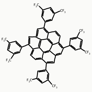 FC(F)(F)c1cc(-c2cc3cc(-c4cc(C(F)(F)F)cc(C(F)(F)F)c4)c4ccc5c(-c6cc(C(F)(F)F)cc(C(F)(F)F)c6)cc6cc(-c7cc(C(F)(F)F)cc(C(F)(F)F)c7)c7ccc2c2c3c4c5c6c72)cc(C(F)(F)F)c1